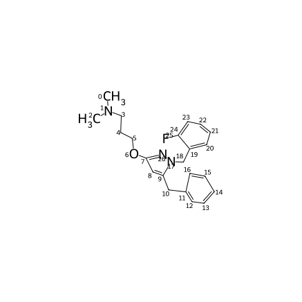 CN(C)CCCOc1cc(Cc2ccccc2)n(Cc2ccccc2F)n1